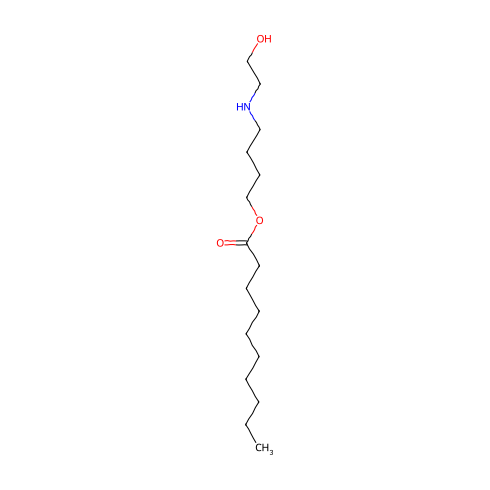 CCCCCCCCCC(=O)OCCCCNCCO